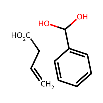 C=CCC(=O)O.OC(O)c1ccccc1